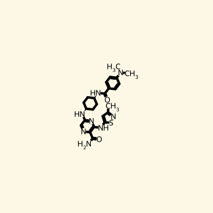 Cc1cc(Nc2nc(N[C@H]3CC[C@@H](NC(=O)c4ccc(N(C)C)cc4)CC3)cnc2C(N)=O)sn1